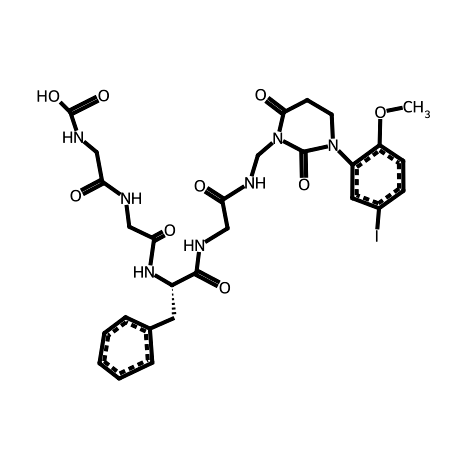 COc1ccc(I)cc1N1CCC(=O)N(CNC(=O)CNC(=O)[C@H](Cc2ccccc2)NC(=O)CNC(=O)CNC(=O)O)C1=O